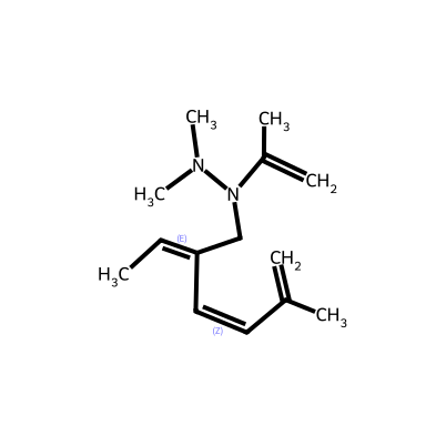 C=C(C)/C=C\C(=C/C)CN(C(=C)C)N(C)C